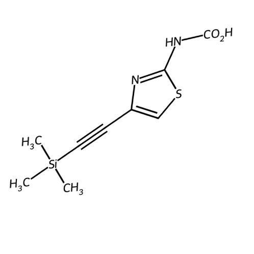 C[Si](C)(C)C#Cc1csc(NC(=O)O)n1